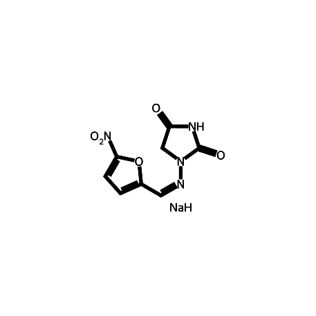 O=C1CN(/N=C\c2ccc([N+](=O)[O-])o2)C(=O)N1.[NaH]